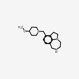 COC1CCN(Cc2ccc3c4c2CCN4CCNC3)CC1